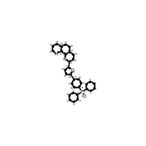 O=P(c1ccccc1)(c1ccccc1)c1ccc(-c2ccc(-c3ccc4ccc5cccnc5c4n3)o2)cc1